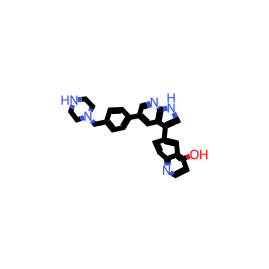 Oc1ccnc2ccc(-c3c[nH]c4ncc(-c5ccc(CN6CCNCC6)cc5)cc34)cc12